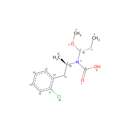 CC[C@@H](OC)N(C(=O)O)[C@H](C)Cc1ccccc1Cl